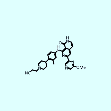 COc1cncc(-c2cc3cc[nH]c(=O)c3c(Nc3ccc(C4CCN(CCC#N)CC4)c(C)c3)n2)n1